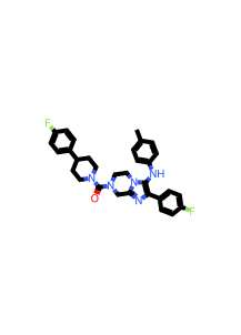 Cc1ccc(Nc2c(-c3ccc(F)cc3)nc3n2CCN(C(=O)N2CCC(c4ccc(F)cc4)CC2)C3)cc1